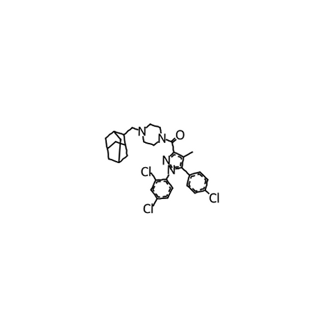 Cc1c(C(=O)N2CCN(CC3C4CC5CC(C4)CC3C5)CC2)nn(-c2ccc(Cl)cc2Cl)c1-c1ccc(Cl)cc1